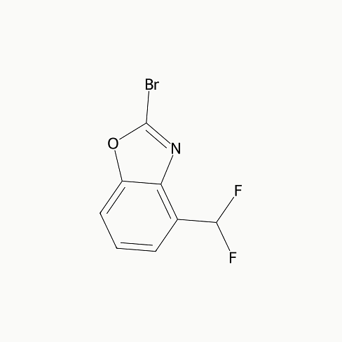 FC(F)c1cccc2oc(Br)nc12